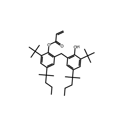 C=CC(=O)Oc1c(Cc2cc(C(C)(C)CCC)cc(C(C)(C)C)c2O)cc(C(C)(C)CCC)cc1C(C)(C)C